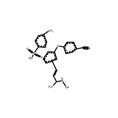 CC(C=Cc1cccc(Oc2ccc(C#N)cc2)c1)NO.Cc1ccc(S(=O)(=O)O)cc1